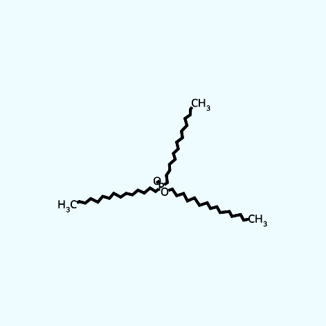 CCCCCCCCCCCCCCCOP(=O)(CCCCCCCCCCCCCCC)CCCCCCCCCCCCCCC